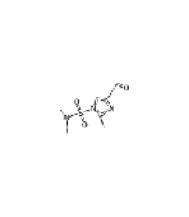 Cc1nc(C=O)cn1S(=O)(=O)N(C)C